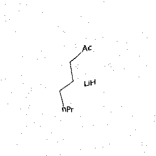 CCCCCCC(C)=O.[LiH]